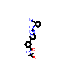 CC(C)(CO)NC(=O)c1cccc(-c2ccc3nc(Nc4ccccc4C#N)nn3c2)c1